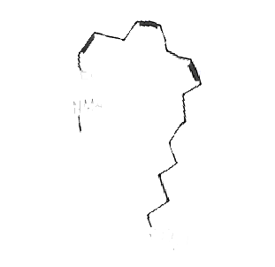 CC/C=C\C/C=C\C/C=C\CCCCCCCC(=O)O.CNC